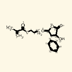 C=CCOC(=O)C(=C)C.O=C1CC(O)C(=O)O1.c1ccccc1